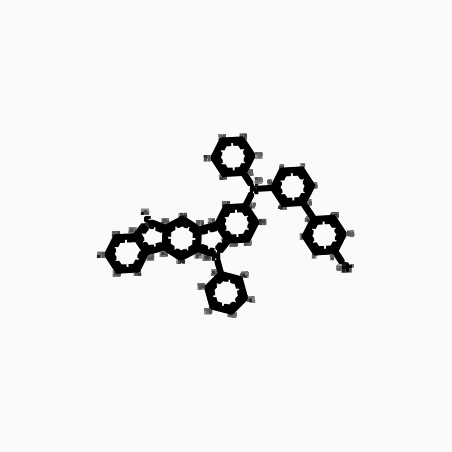 Brc1ccc(-c2cccc(N(c3ccccc3)c3ccc4c(c3)c3cc5sc6ccccc6c5cc3n4-c3ccccc3)c2)cc1